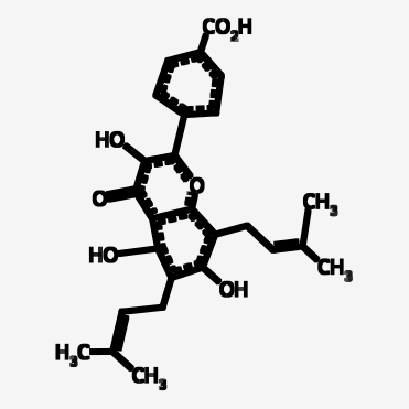 CC(C)=CCc1c(O)c(CC=C(C)C)c2oc(-c3ccc(C(=O)O)cc3)c(O)c(=O)c2c1O